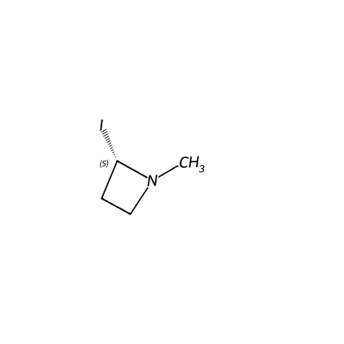 CN1CC[C@@H]1I